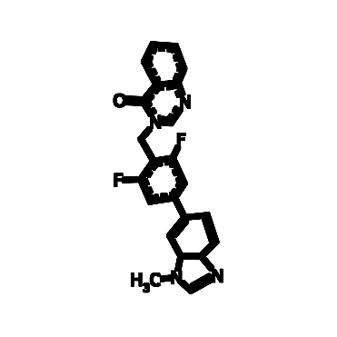 CN1C=NC2C=CC(c3cc(F)c(Cn4cnc5ccccc5c4=O)c(F)c3)=CC21